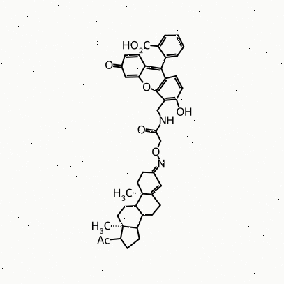 CC(=O)C1CCC2C3CCC4=C/C(=N/OCC(=O)NCc5c(O)ccc6c(-c7ccccc7C(=O)O)c7ccc(=O)cc-7oc56)CC[C@]4(C)C3CC[C@]12C